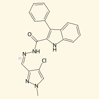 Cn1cc(Cl)c(/C=N\NC(=O)c2[nH]c3ccccc3c2-c2ccccc2)n1